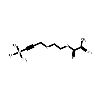 C=C(C)C(=O)OCCOCC#C[Si](C)(C)C